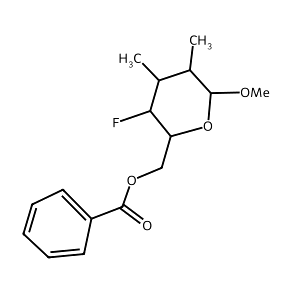 COC1OC(COC(=O)c2ccccc2)C(F)C(C)C1C